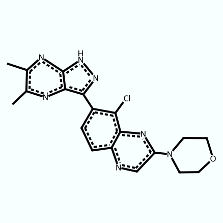 Cc1nc2[nH]nc(-c3ccc4ncc(N5CCOCC5)nc4c3Cl)c2nc1C